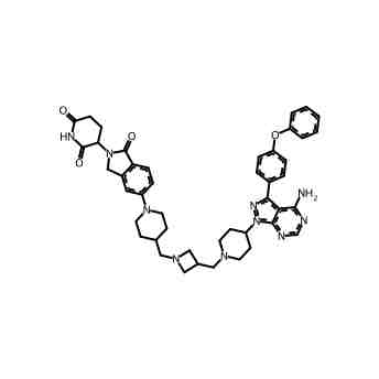 Nc1ncnc2c1c(-c1ccc(Oc3ccccc3)cc1)nn2C1CCN(CC2CN(CC3CCN(c4ccc5c(c4)CN(C4CCC(=O)NC4=O)C5=O)CC3)C2)CC1